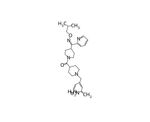 C=C(N)/C=C(\C=C/N)CN1CCC(C(=O)N2CCC(/C(=N/OCC(C)C)c3ccccn3)CC2)CC1